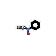 CCOC(=O)N(Br)c1ccccc1